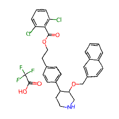 O=C(O)C(F)(F)F.O=C(OCCc1ccc(C2CCNCC2OCc2ccc3ccccc3c2)cc1)c1c(Cl)cccc1Cl